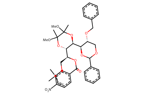 COC1(C)O[C@@H]([C@@H]2OC(c3ccccc3)OC[C@H]2OCc2ccccc2)[C@H]([C@H](CO[Si](C)(C)C(C)(C)C)OC(=O)c2ccc([N+](=O)[O-])cc2)OC1(C)OC